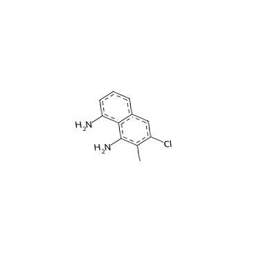 Cc1c(Cl)cc2cccc(N)c2c1N